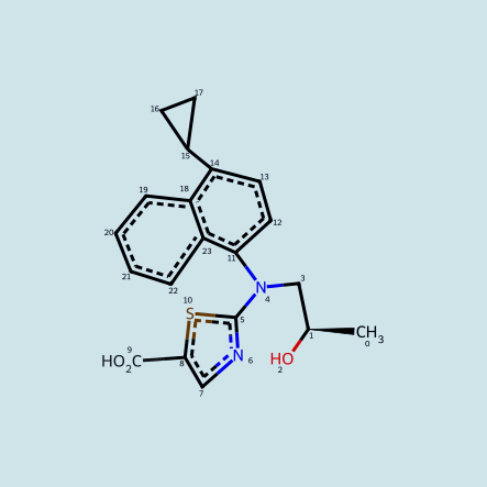 C[C@@H](O)CN(c1ncc(C(=O)O)s1)c1ccc(C2CC2)c2ccccc12